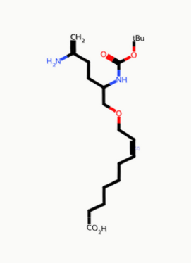 C=C(N)CCC(COC/C=C\CCCCCC(=O)O)NC(=O)OC(C)(C)C